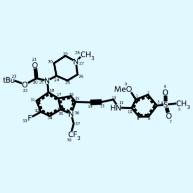 COc1cc(S(C)(=O)=O)ccc1NCC#Cc1cc2c(N(C(=O)OC(C)(C)C)C3CCN(C)CC3)cc(F)cc2n1CC(F)(F)F